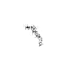 CC[C@H]1CN(c2nc(N)c(C(=O)NCC(=O)O)nc2Cl)CCN1C1CCN(Cc2ccc(C)cc2)CC1